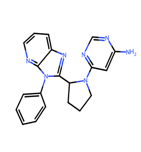 Nc1cc(N2CCCC2c2nc3cccnc3n2-c2ccccc2)ncn1